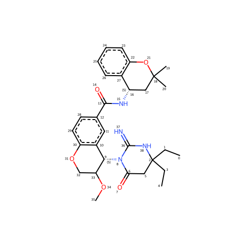 CCC1(CC)CC(=O)N([C@H]2c3cc(C(=O)N[C@H]4CC(C)(C)Oc5ccccc54)ccc3OCC2OC)C(=N)N1